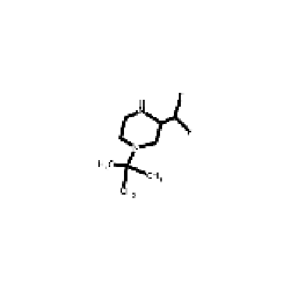 CC(C)(C)N1CCNC(C(F)F)C1